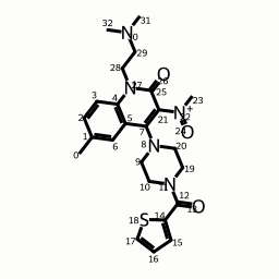 Cc1ccc2c(c1)c(N1CCN(C(=O)c3cccs3)CC1)c([N+](C)=O)c(=O)n2CCN(C)C